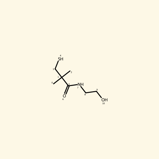 CC(C)(CS)C(=O)NCCO